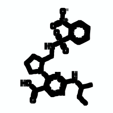 CCC(C)Nc1ncc(C(=O)O)c(N2CCCC2CNS(=O)(=O)c2ccccc2[N+](=O)[O-])n1